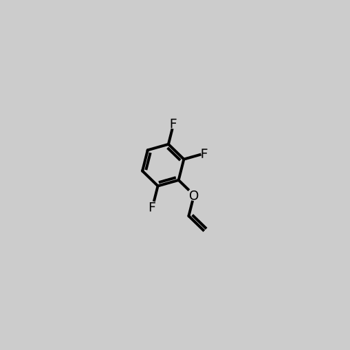 C=COc1c(F)ccc(F)c1F